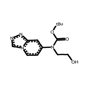 CC(C)(C)OC(=O)N(CCO)c1ccn2cnnc2c1